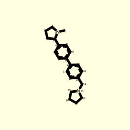 CN1CCCC1c1ccc(-c2ccc(CN3CCCC3)cc2)cc1